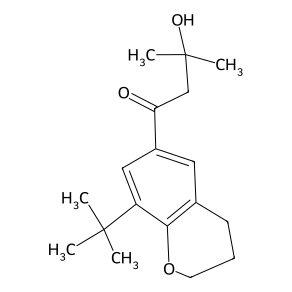 CC(C)(O)CC(=O)c1cc2c(c(C(C)(C)C)c1)OCCC2